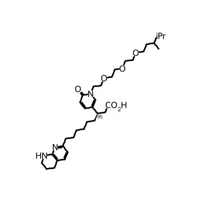 CC(C)C(C)CCOCCOCCOCCn1cc([C@H](CCCCCCc2ccc3c(n2)NCCC3)CC(=O)O)ccc1=O